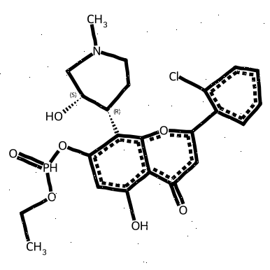 CCO[PH](=O)Oc1cc(O)c2c(=O)cc(-c3ccccc3Cl)oc2c1[C@H]1CCN(C)C[C@H]1O